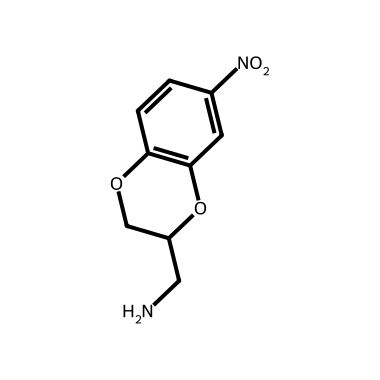 NCC1COc2ccc([N+](=O)[O-])cc2O1